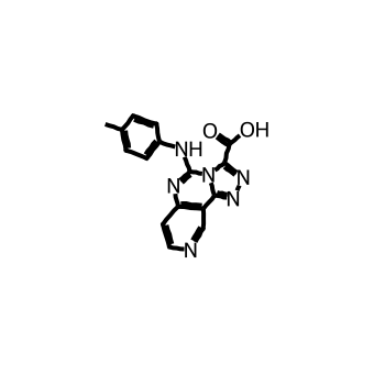 Cc1ccc(Nc2nc3ccncc3c3nnc(C(=O)O)n23)cc1